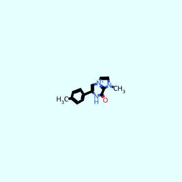 Cc1ccc(-c2c[n+]3ccn(C)c3c(=O)[nH]2)cc1